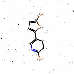 SC1=NC=C(c2ccc(S)s2)CC1